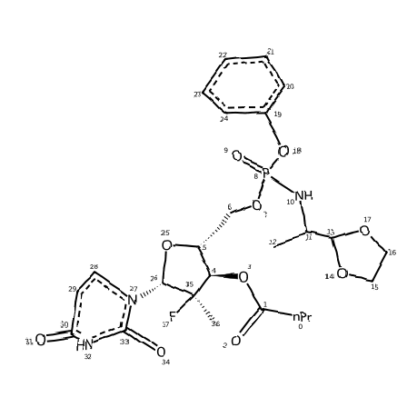 CCCC(=O)O[C@@H]1[C@@H](COP(=O)(NC(C)C2OCCO2)Oc2ccccc2)O[C@@H](n2ccc(=O)[nH]c2=O)[C@]1(C)F